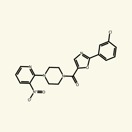 O=C(c1cnc(-c2cccc(Cl)c2)o1)N1CCN(c2ncccc2[N+](=O)[O-])CC1